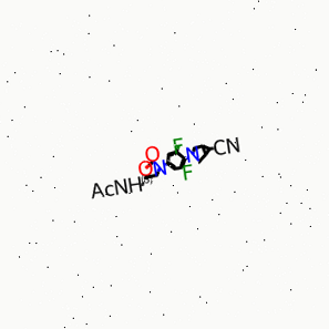 CC(=O)NC[C@H]1CN(c2cc(F)c(N3CC4C(C#N)C4C3)c(F)c2)C(=O)O1